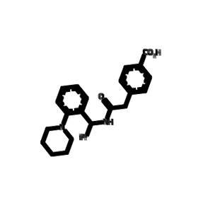 CC(C)C(NC(=O)Cc1ccc(C(=O)O)cc1)c1ccccc1N1CCCCC1